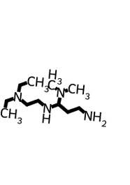 CCN(CC)CCNC(CCN)N(C)C